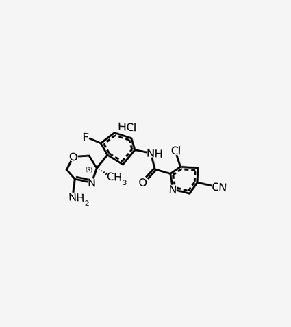 C[C@@]1(c2cc(NC(=O)c3ncc(C#N)cc3Cl)ccc2F)COCC(N)=N1.Cl